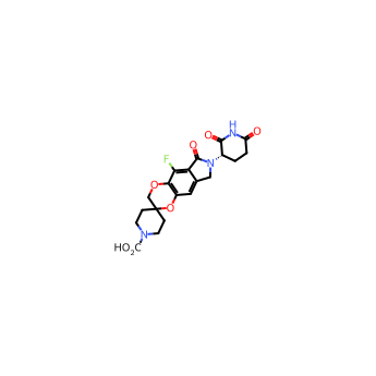 O=C1CC[C@H](N2Cc3cc4c(c(F)c3C2=O)OCC2(CCN(C(=O)O)CC2)O4)C(=O)N1